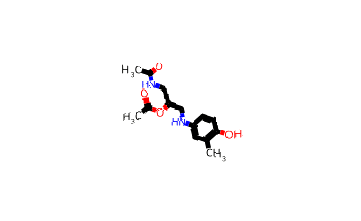 CC(=O)NCC(CNc1ccc(O)c(C)c1)OC(C)=O